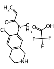 C=CC(=O)N(C)c1cc2c(cc1Cl)CCNC2.O=C(O)C(F)(F)F